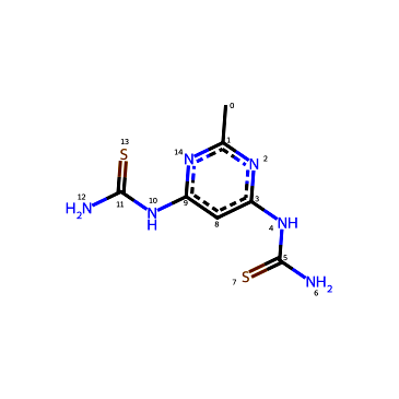 Cc1nc(NC(N)=S)cc(NC(N)=S)n1